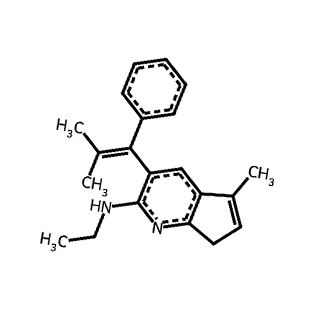 CCNc1nc2c(cc1C(=C(C)C)c1ccccc1)C(C)=CC2